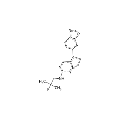 CC(C)(F)CNc1ncc2c(-c3ccc4nccn4n3)ccn2n1